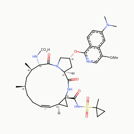 COc1cnc(O[C@@H]2C[C@H]3C(=O)N[C@]4(C(=O)NS(=O)(=O)C5(C)CC5)C[C@H]4/C=C\CC[C@@H](C)C[C@@H](C)[C@H](NC(=O)O)C(=O)N3C2)c2ccc(N(C)C)cc12